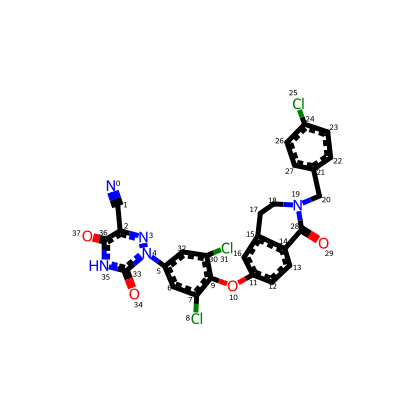 N#Cc1nn(-c2cc(Cl)c(Oc3ccc4c(c3)CCN(Cc3ccc(Cl)cc3)C4=O)c(Cl)c2)c(=O)[nH]c1=O